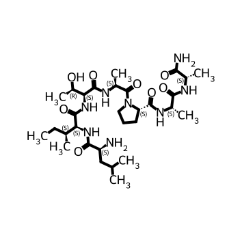 CC[C@H](C)[C@H](NC(=O)[C@@H](N)CC(C)C)C(=O)N[C@H](C(=O)N[C@@H](C)C(=O)N1CCC[C@H]1C(=O)N[C@@H](C)C(=O)N[C@@H](C)C(N)=O)[C@@H](C)O